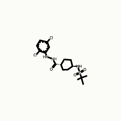 CC(C)(C)S(=O)(=O)N[C@H]1CC[C@H](C(=O)NNc2cc(Cl)ccc2Cl)CC1